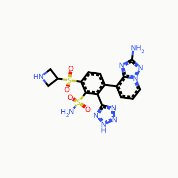 Nc1nc2c(-c3ccc(S(=O)(=O)C4CNC4)c(S(N)(=O)=O)c3-c3nn[nH]n3)cccn2n1